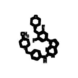 CN1CCN(Cc2ccc(Nc3ncc4ccn(-c5cc(F)c(CN6CCOCC6)c(F)c5)c4n3)cc2)CC1